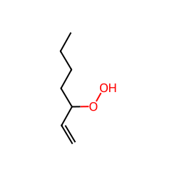 C=CC(CCCC)OO